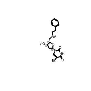 CCc1cn([C@H]2C[C@H](O)[C@@H](CNCCc3ccccc3)O2)c(=O)[nH]c1=O